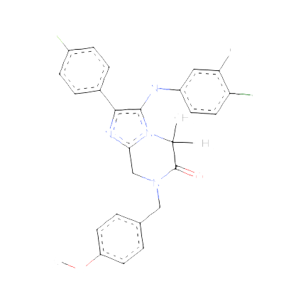 COc1ccc(CN2Cc3nc(-c4ccc(F)cc4)c(Nc4ccc(Cl)c(C)c4)n3C(C)(C)C2=O)cc1